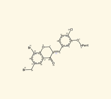 CCCCCOc1cc(/C=C2\COc3c(Br)cc(CBr)cc3C2=O)ccc1Cl